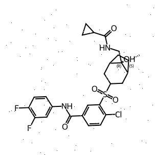 C[C@H]1CC2CC(S(=O)(=O)c3cc(C(=O)Nc4ccc(F)c(F)c4)ccc3Cl)CC1[C@@]2(O)CNC(=O)C1CC1